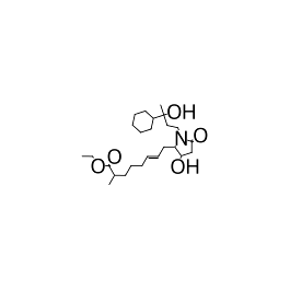 CCOC(=O)C(C)CCCC=CCC1C(O)CC(=O)N1CCC(C)(O)C1CCCCC1